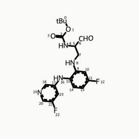 CC(C)(C)OC(=O)NC(C=O)CNc1cc(F)ccc1Nc1cncc(F)c1